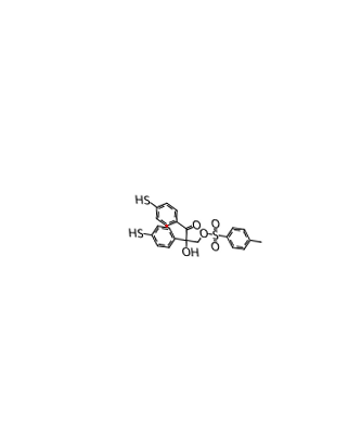 Cc1ccc(S(=O)(=O)OCC(O)(C(=O)c2ccc(S)cc2)c2ccc(S)cc2)cc1